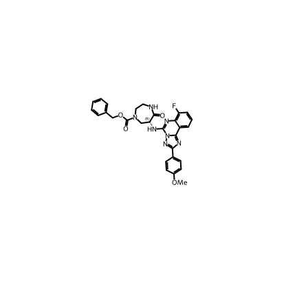 COc1ccc(-c2nc3c4cccc(F)c4nc(N[C@@H]4CN(C(=O)OCc5ccccc5)CCNC4=O)n3n2)cc1